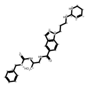 O=C(NC(CNC(=O)c1ccc2c(cnn2CCCNC2N=CCCN2)c1)C(=O)O)OCc1ccccc1